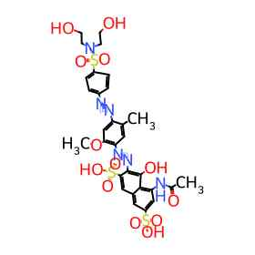 COc1cc(/N=N/c2ccc(S(=O)(=O)N(CCO)CCO)cc2)c(C)cc1/N=N/c1c(S(=O)(=O)O)cc2cc(S(=O)(=O)O)cc(NC(C)=O)c2c1O